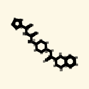 O=C(NC(=O)c1ccco1)NC1CCN(CC(=O)C2COc3ccccc3O2)CC1